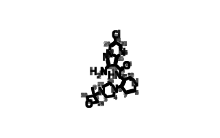 CC1(N2CCN(c3ccncc3NC(=O)c3c(N)nn4cc(Cl)cnc34)CC2)COC1